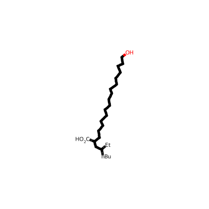 CCCCC(CC)CC(CCCCCCCCCCCCCCCCO)C(=O)O